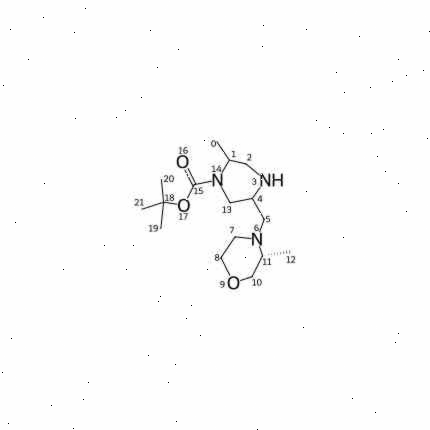 CC1CNC(CN2CCOC[C@H]2C)CN1C(=O)OC(C)(C)C